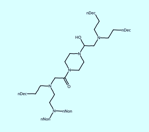 CCCCCCCCCCCCN(CCN(CCCCCCCCC)CCCCCCCCC)CC(=O)N1CCN(C(O)CN(CCCCCCCCCCCC)CCCCCCCCCCCC)CC1